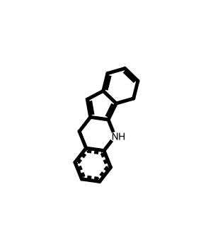 C1=CCC2=C3Nc4ccccc4CC3=CC2=C1